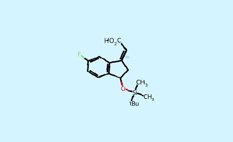 CC(C)(C)[Si](C)(C)OC1C/C(=C/C(=O)O)c2cc(F)ccc21